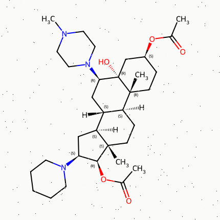 CC(=O)O[C@H]1CC[C@]2(C)[C@H]3CC[C@@]4(C)[C@@H](C[C@H](N5CCCCC5)[C@@H]4OC(C)=O)[C@@H]3C[C@@H](N3CCN(C)CC3)[C@@]2(O)C1